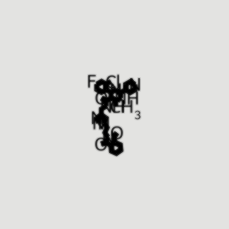 CC1=C(C(=O)NCc2cn(CCN3C(=O)c4ccccc4C3=O)nn2)C(c2ccc(F)cc2Cl)N=C(c2ccncc2)N1